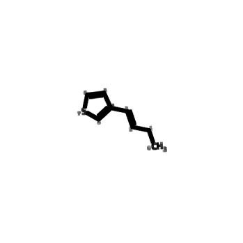 CCC=Cc1ccsc1